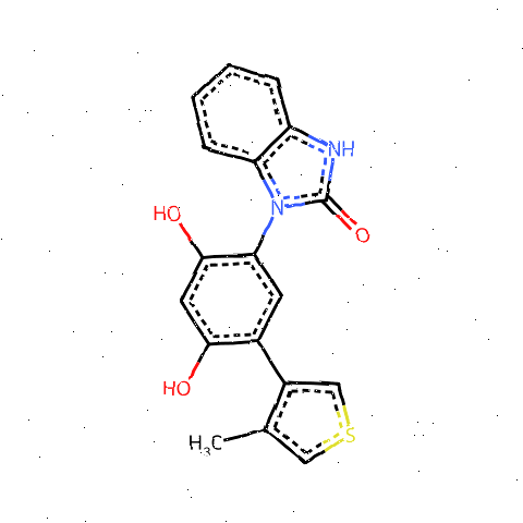 Cc1cscc1-c1cc(-n2c(=O)[nH]c3ccccc32)c(O)cc1O